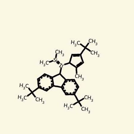 CC1=CC(C(C)(C)C)=C[CH]1[Zr]([CH]1c2ccc(C(C)(C)C)cc2-c2cc(C(C)(C)C)ccc21)=[Si](C)C